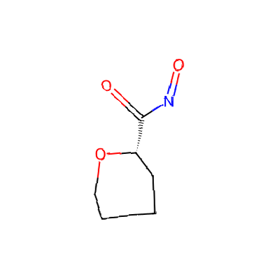 O=NC(=O)[C@@H]1CCCCO1